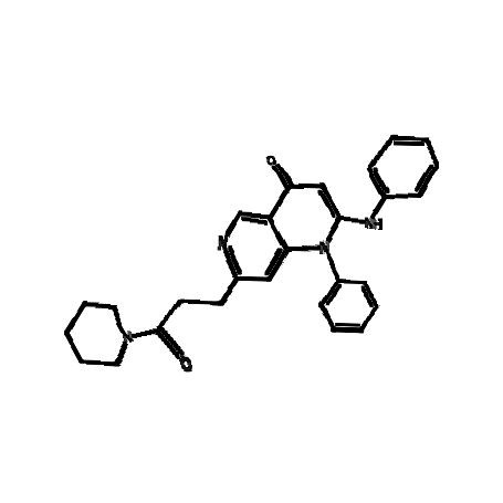 O=C(CCc1cc2c(cn1)c(=O)cc(Nc1ccccc1)n2-c1ccccc1)N1CCCCC1